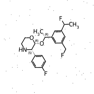 CC(F)c1cc(CF)cc([C@@H](C)O[C@H]2OCCN[C@H]2c2ccc(F)cc2)c1